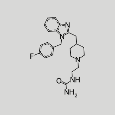 NC(=O)NCCN1CCC(Cc2nc3ccccc3n2Cc2ccc(F)cc2)CC1